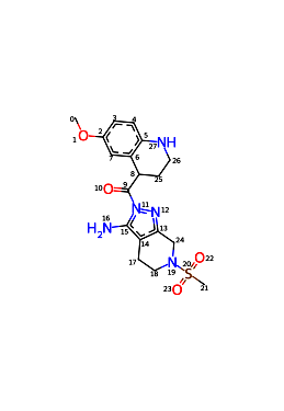 COc1ccc2c(c1)C(C(=O)n1nc3c(c1N)CCN(S(C)(=O)=O)C3)CCN2